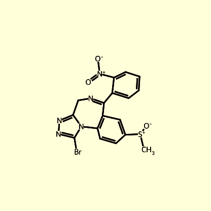 C[S+]([O-])c1ccc2c(c1)C(c1ccccc1[N+](=O)[O-])=NCc1nnc(Br)n1-2